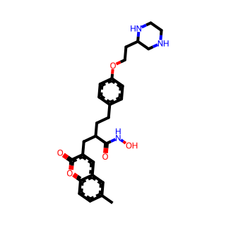 Cc1ccc2oc(=O)c(CC(CCc3ccc(OCCC4CNCCN4)cc3)C(=O)NO)cc2c1